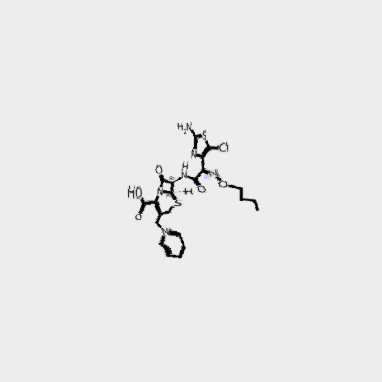 CCCCO/N=C(\C(=O)N[C@@H]1C(=O)N2C(C(=O)O)=C(C[n+]3ccccc3)CS[C@H]12)c1nc(N)sc1Cl